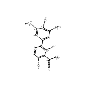 Nc1cc(-c2ccc(Cl)c(C(=O)C(F)(F)F)c2F)nc(C(=O)O)c1Cl